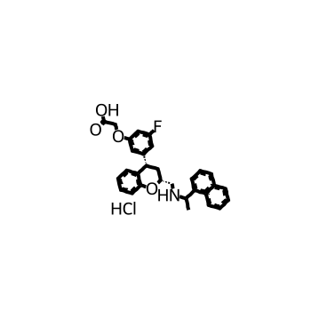 CC(NC[C@H]1C[C@@H](c2cc(F)cc(OCC(=O)O)c2)c2ccccc2O1)c1cccc2ccccc12.Cl